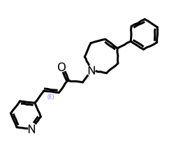 O=C(/C=C/c1cccnc1)CN1CCC=C(c2ccccc2)CC1